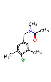 CC(=O)N(C)Cc1cc(C)c(Br)c(C)c1